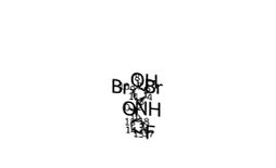 O=C(Nc1cc(Br)c(O)c(Br)c1)c1cccc(F)c1